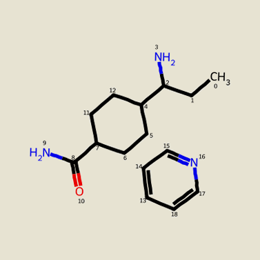 CCC(N)C1CCC(C(N)=O)CC1.c1ccncc1